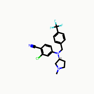 CN1CC[C@H](N(Cc2ccc(C(F)(F)F)cc2)c2ccc(C#N)c(Cl)c2)C1